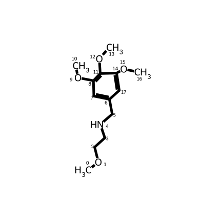 COCCNCc1cc(OC)c(OC)c(OC)c1